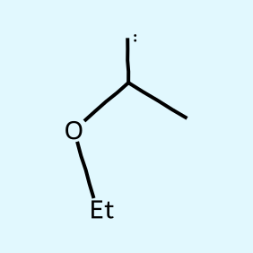 [CH]C(C)OCC